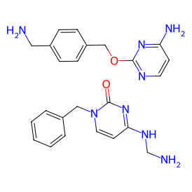 NCNc1ccn(Cc2ccccc2)c(=O)n1.NCc1ccc(COc2nccc(N)n2)cc1